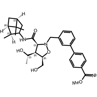 COC(=N)c1ccc(-c2cccc(CN3O[C@@H](CO)[C@@H]([C@H](C)O)[C@H]3C(=O)NC3C[C@@H]4C[C@H]([C@@H]3C)C4(C)C)c2)cc1